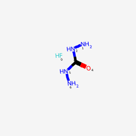 F.NNC(=O)NN